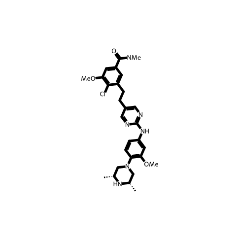 CNC(=O)c1cc(CCc2cnc(Nc3ccc(N4C[C@@H](C)N[C@@H](C)C4)c(OC)c3)nc2)c(Cl)c(OC)c1